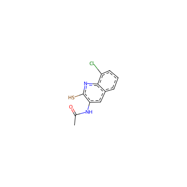 CC(=O)Nc1cc2cccc(Cl)c2nc1S